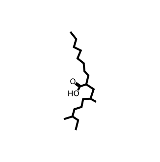 CCCCCCCCC(CC(C)CCCC(C)CC)C(=O)O